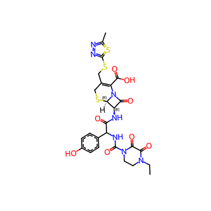 CCN1CCN(C(=O)NC(C(=O)N[C@@H]2C(=O)N3C(C(=O)O)=C(CSc4nnc(C)s4)CS[C@H]23)c2ccc(O)cc2)C(=O)C1=O